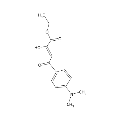 CCOC(=O)/C(O)=C/C(=O)c1ccc(N(C)C)cc1